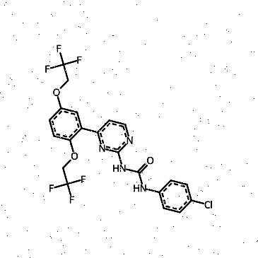 O=C(Nc1ccc(Cl)cc1)Nc1nccc(-c2cc(OCC(F)(F)F)ccc2OCC(F)(F)F)n1